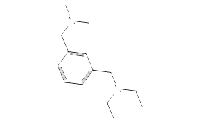 CCN(CC)Cc1cccc(CN(C)C)c1